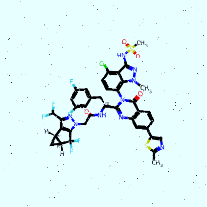 Cc1ncc(-c2ccc3c(=O)n(-c4ccc(Cl)c5c(NS(C)(=O)=O)nn(C)c45)c([C@H](Cc4cc(F)cc(F)c4)NC(=O)Cn4nc(C(F)F)c5c4C(F)(F)[C@@H]4C[C@H]54)nc3c2)s1